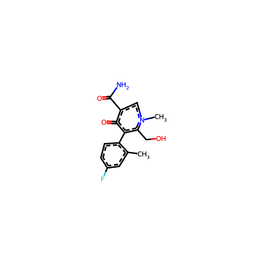 Cc1cc(F)ccc1-c1c(CO)n(C)cc(C(N)=O)c1=O